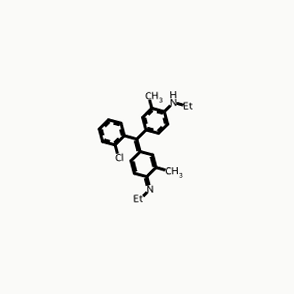 CC/N=C1C=C/C(=C(/c2ccc(NCC)c(C)c2)c2ccccc2Cl)C=C\1C